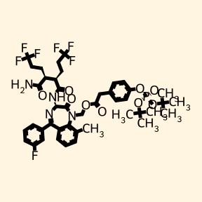 Cc1cccc2c1N(COC(=O)Cc1ccc(OP(=O)(OC(C)(C)C)OC(C)(C)C)cc1)C(=O)[C@@H](NC(=O)[C@H](CCC(F)(F)F)[C@H](CCC(F)(F)F)C(N)=O)N=C2c1cccc(F)c1